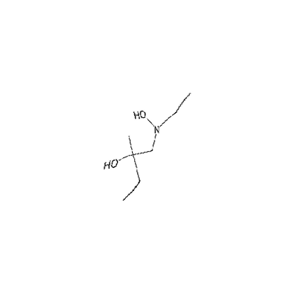 CCN(O)CC(C)(O)CC